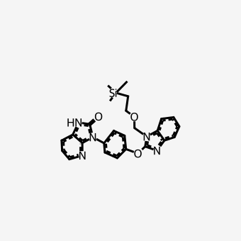 C[Si](C)(C)CCOCn1c(Oc2ccc(-n3c(=O)[nH]c4cccnc43)cc2)nc2ccccc21